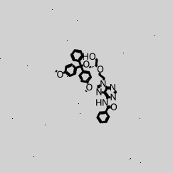 COc1ccc(C(OC[C@H](CO)OCCn2cnc3c(NC(=O)c4ccccc4)ncnc32)(c2ccccc2)c2ccc(OC)cc2)cc1